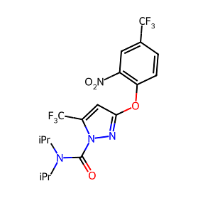 CC(C)N(C(=O)n1nc(Oc2ccc(C(F)(F)F)cc2[N+](=O)[O-])cc1C(F)(F)F)C(C)C